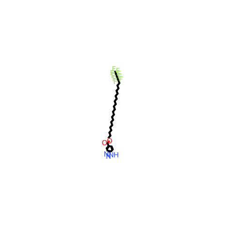 O=C(OCCCCCCCCCCCCCCCCCCCCCCC(F)(F)C(F)(F)C(F)(F)C(F)(F)F)c1ccc2[nH]nnc2c1